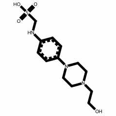 O=S(=O)(O)[CH]Nc1ccc(N2CCN(CCO)CC2)cc1